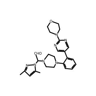 Cc1cc(C)n(C(C=O)N2CCN(c3ccccc3-c3cnc(N4CCOCC4)nc3)CC2)n1